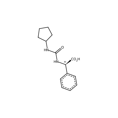 O=C(NC1CCCC1)N[C@@H](C(=O)O)c1ccccc1